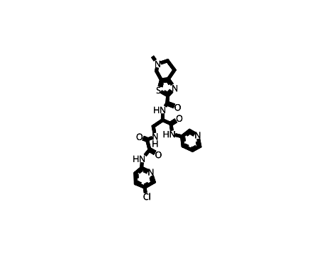 CN1CCc2nc(C(=O)NC(CNC(=O)C(=O)Nc3ccc(Cl)cn3)C(=O)Nc3cccnc3)sc2C1